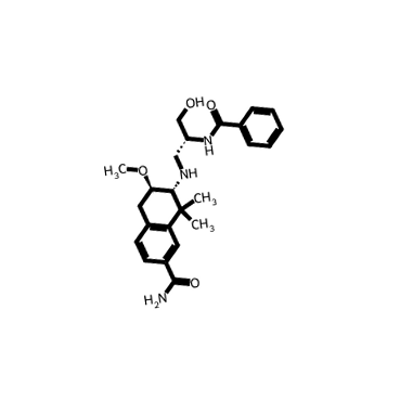 CO[C@@H]1Cc2ccc(C(N)=O)cc2C(C)(C)[C@H]1NC[C@H](CO)NC(=O)c1ccccc1